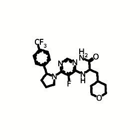 NC(=O)C(CC1CCOCC1)Nc1ncnc(N2CCCC2c2ccc(C(F)(F)F)cc2)c1F